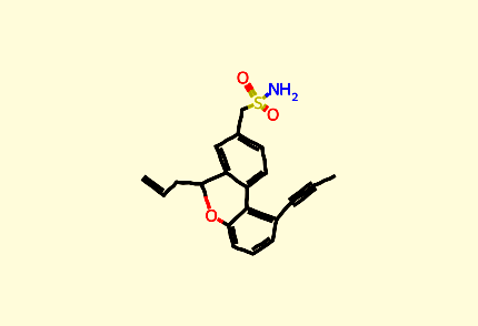 C=CCC1Oc2cccc(C#CC)c2-c2ccc(CS(N)(=O)=O)cc21